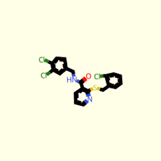 O=C(NCc1ccc(Cl)c(Cl)c1)c1cccnc1SCc1ccccc1Cl